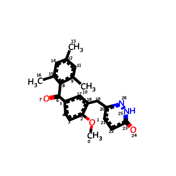 COc1ccc(C(=O)c2c(C)cc(C)cc2C)cc1Cc1ccc(=O)[nH]n1